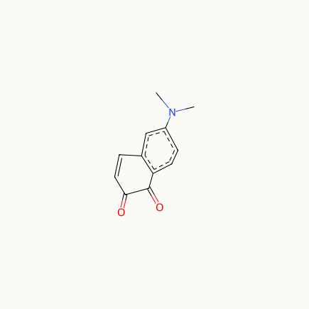 CN(C)c1ccc2c(c1)C=CC(=O)C2=O